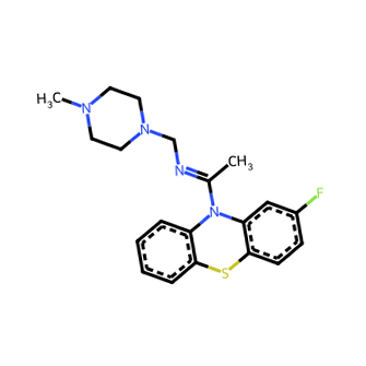 C/C(=N\CN1CCN(C)CC1)N1c2ccccc2Sc2ccc(F)cc21